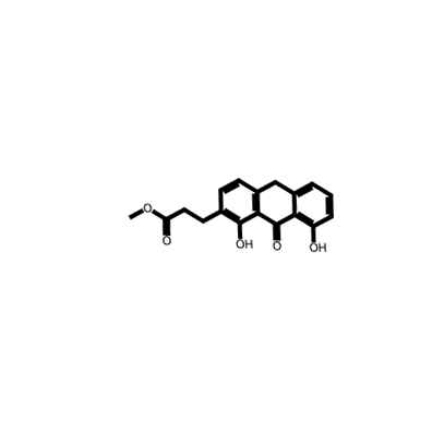 COC(=O)CCc1ccc2c(c1O)C(=O)c1c(O)cccc1C2